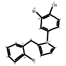 N#Cc1ccc(-n2cccc2Cc2ccccc2Br)cc1Br